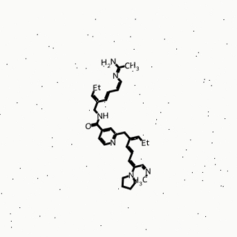 CC\C=C(/C=C/C=C(\C=N/C)N1CCCC1)Cc1cc(C(=O)NCC(/C=C/C=C\N=C(/C)N)=C/CC)ccn1